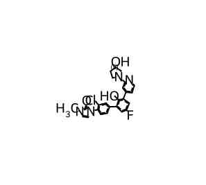 Cn1ccn(-c2ccc(-c3cc(F)cc(-c4ccnc(N5CC[C@H](O)C5)c4)c3O)cc2Cl)c1=O